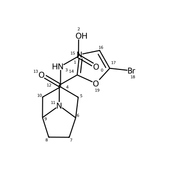 O=C(O)NC1CC2CCC(C1)N2C(=O)c1ncc(Br)o1